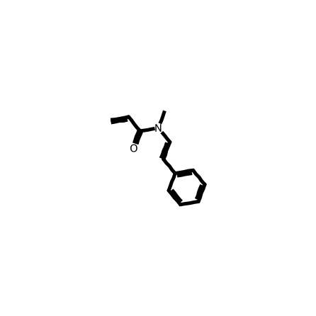 C=CC(=O)N(C)C=Cc1ccccc1